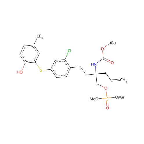 C=CC[C@](CCc1ccc(Sc2cc(C(F)(F)F)ccc2O)cc1Cl)(COP(=O)(OC)OC)NC(=O)OC(C)(C)C